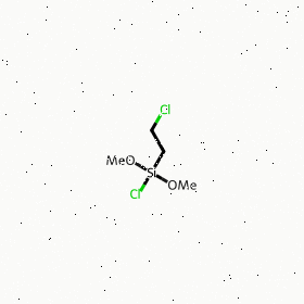 CO[Si](Cl)(CCCl)OC